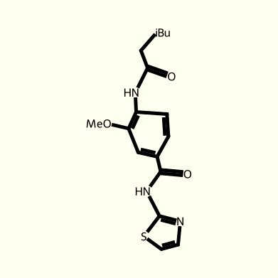 CCC(C)CC(=O)Nc1ccc(C(=O)Nc2nccs2)cc1OC